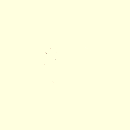 Cc1ccc(OC(C)(C)c2nnc(-c3ccc(C(N)=O)cc3F)n2C(C)C)c(C)n1